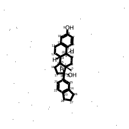 C[C@]12CC[C@@H]3c4ccc(O)cc4CC[C@H]3[C@@H]1CC[C@]2(O)c1ccc2c(c1)CCC2